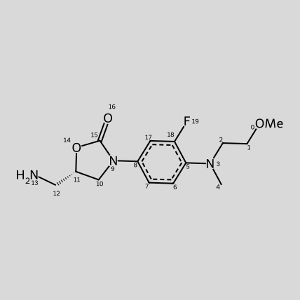 COCCN(C)c1ccc(N2C[C@H](CN)OC2=O)cc1F